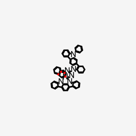 C1=Cc2c(c3cc4c(cc3n2-c2nc(-c3ccccc3)nc(-n3c5ccccc5c5ccc6c7ccccc7n(-c7ccccc7)c6c53)n2)c2ccccc2n4-c2ccccc2)CC1